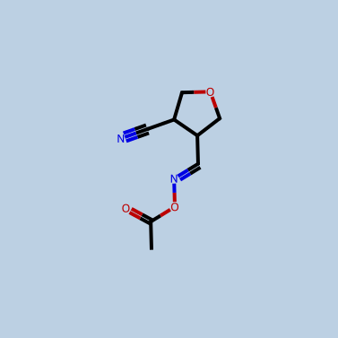 CC(=O)ON=CC1COCC1C#N